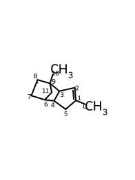 CC1=CC2C(C1)C1C[CH]C2(C)C1